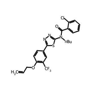 C=CCOc1ccc(-c2nnc(N(CCCC)C(=O)c3ccccc3Cl)s2)cc1C(F)(F)F